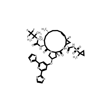 C[C@@H]1CC/C=C\[C@@H]2C[C@@]2(C(=O)NS(=O)(=O)C2(C)CC2)NC(=O)[C@@H]2C[C@@H](Oc3cc(-c4nccs4)nc(-c4nccs4)c3)CN2C(=O)[C@@H](NC(=O)OC(C)(C)C(F)(F)F)[C@H](C)C1